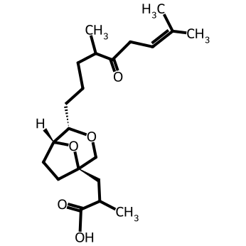 CC(C)=CCC(=O)C(C)CCC[C@@H]1OC[C@]2(CC(C)C(=O)O)CC[C@H]1O2